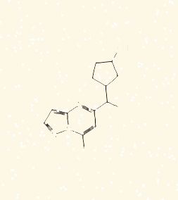 CC1CCC(C(C)c2cc(O)n3nccc3n2)C1